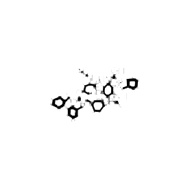 CC([C@@H]1CC[C@@H](N=[N+]=[N-])[C@@H](O[C@@H]2[C@@H](NC(=O)O)[C@H](OCc3ccccc3)[C@@H](NC(=O)O)[C@@H]3OC4(CCCCC4)O[C@@H]23)O1)N(Cc1ccccc1)C(=O)OCc1ccccc1